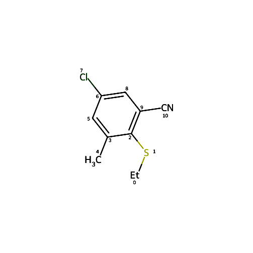 CCSc1c(C)cc(Cl)cc1C#N